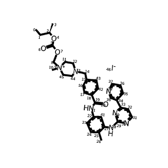 CC[C@@H](C)OC(=O)OC[N+]1(C)CCN(Cc2ccc(C(=O)Nc3ccc(C)c(Nc4nccc(-c5cccnc5)n4)c3)cc2)CC1.[I-]